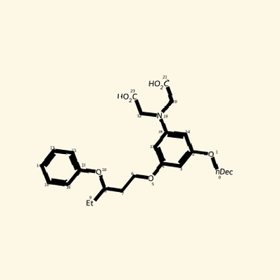 CCCCCCCCCCOc1cc(OCCC(CC)Oc2ccccc2)cc(N(CC(=O)O)CC(=O)O)c1